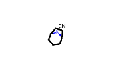 N#CN1C2CCCC1CC2